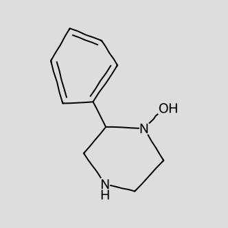 ON1CCNCC1c1ccccc1